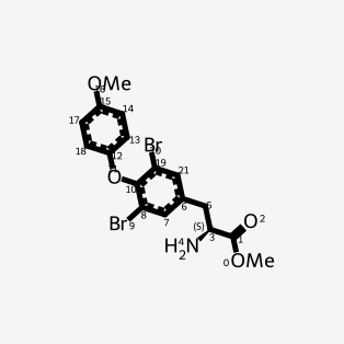 COC(=O)[C@@H](N)Cc1cc(Br)c(Oc2ccc(OC)cc2)c(Br)c1